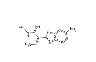 CCCNC(=N)/C(=C\N)c1nc2ccc(N)cc2o1